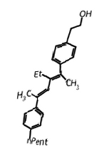 CCCCCc1ccc(/C(C)=C/C(CC)=C(\C)c2ccc(CCO)cc2)cc1